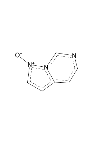 [O-][n+]1ccc2ccncn21